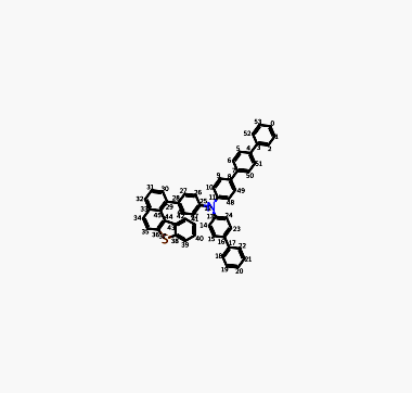 c1ccc(-c2ccc(-c3ccc(N(c4ccc(-c5ccccc5)cc4)c4ccc(-c5cccc6ccc7sc8ccccc8c7c56)cc4)cc3)cc2)cc1